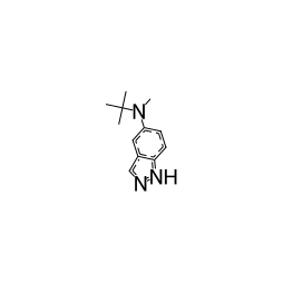 CN(c1ccc2[nH]ncc2c1)C(C)(C)C